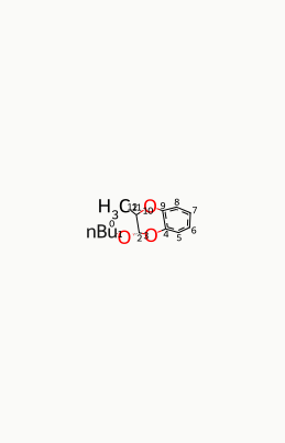 CCCCO[C@H]1Oc2ccccc2OC1C